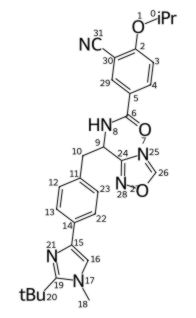 CC(C)Oc1ccc(C(=O)NC(Cc2ccc(-c3cn(C)c(C(C)(C)C)n3)cc2)c2ncon2)cc1C#N